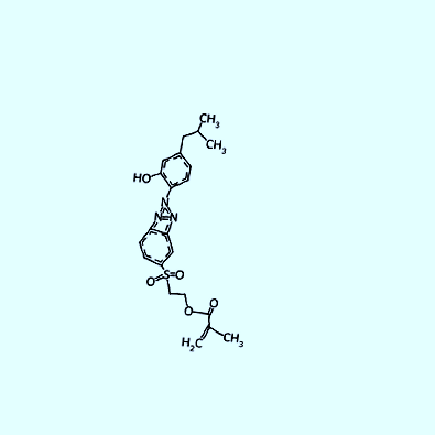 C=C(C)C(=O)OCCS(=O)(=O)c1ccc2c(c1)n1n(-c3ccc(CC(C)C)cc3O)n21